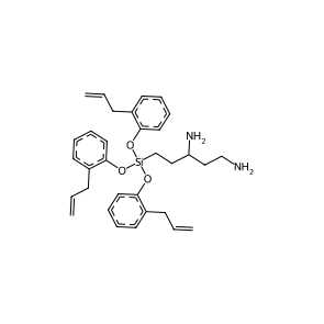 C=CCc1ccccc1O[Si](CCC(N)CCN)(Oc1ccccc1CC=C)Oc1ccccc1CC=C